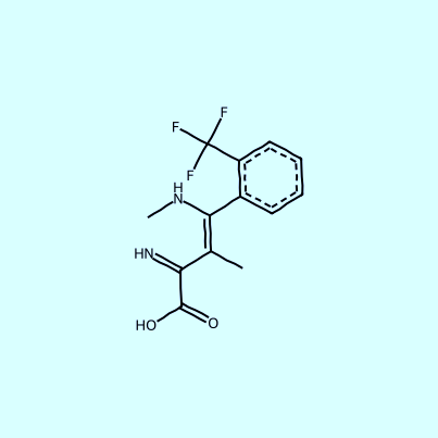 CN/C(=C(/C)C(=N)C(=O)O)c1ccccc1C(F)(F)F